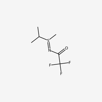 CC(C)/S(C)=N/C(=O)C(F)(F)F